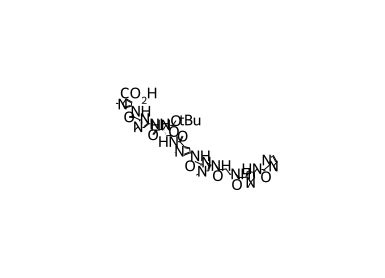 Cn1cc(NC(=O)c2nc(NC(=O)[C@@H](CCNC(=O)c3cc(NC(=O)c4nc(NC(=O)CCNC(=O)c5cc(NC(=O)c6nccn6C)cn5C)cn4C)cn3C)NC(=O)OC(C)(C)C)cn2C)cc1C(=O)O